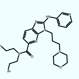 CC(C)CCN(CCC(C)C)C(=O)c1ccc2nc(Nc3cccnc3)n(CCCN3CCOCC3)c2n1